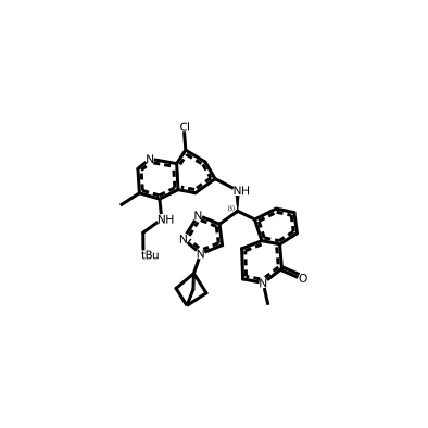 Cc1cnc2c(Cl)cc(N[C@H](c3cn(C45CC(C4)C5)nn3)c3cccc4c(=O)n(C)ccc34)cc2c1NCC(C)(C)C